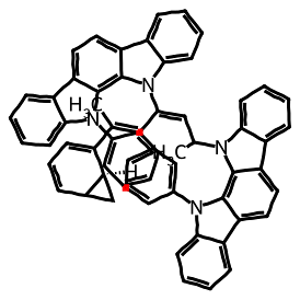 C/C(=C\C(=C/C(C)n1c2ccccc2c2ccc3c4ccccc4n(-c4ccccc4)c3c21)n1c2ccccc2c2ccc3c4ccccc4n(-c4ccccc4)c3c21)C1=CC=CC2C[C@H]12